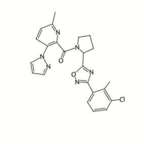 Cc1ccc(-n2cccn2)c(C(=O)N2CCCC2c2nc(-c3cccc(Cl)c3C)no2)n1